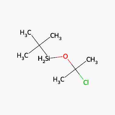 CC(C)(Cl)O[SiH2]C(C)(C)C